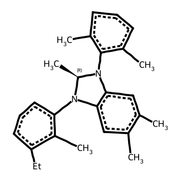 CCc1cccc(N2c3cc(C)c(C)cc3N(c3c(C)cccc3C)[C@@H]2C)c1C